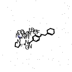 CC(C)(C)OC(=O)N/C(=N\C(=O)O)N1CCC[C@H]1c1nc(-c2ccc(CCC3=CCCCC3)c(C(F)(F)F)c2)no1